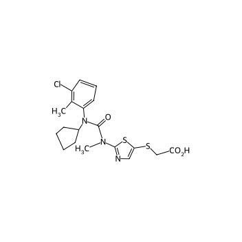 Cc1c(Cl)cccc1N(C(=O)N(C)c1ncc(SCC(=O)O)s1)C1CCCC1